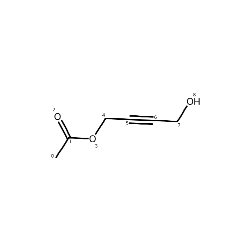 CC(=O)OCC#CCO